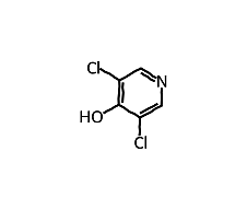 Oc1c(Cl)cncc1Cl